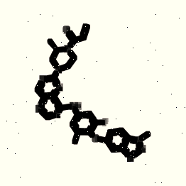 C=CC(=O)N1CCN(c2ncc3ncnc(Nc4cc(C)c(Oc5ccc6c(c5)nnn6C)c(F)c4)c3n2)C[C@H]1C